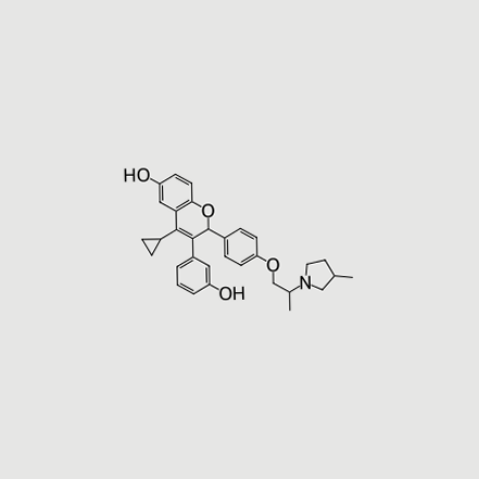 CC1CCN(C(C)COc2ccc(C3Oc4ccc(O)cc4C(C4CC4)=C3c3cccc(O)c3)cc2)C1